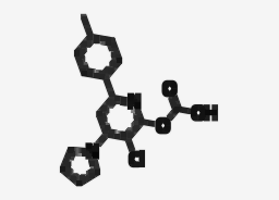 Cc1ccc(-c2cc(-n3cccc3)c(Cl)c(OC(=O)O)n2)cc1